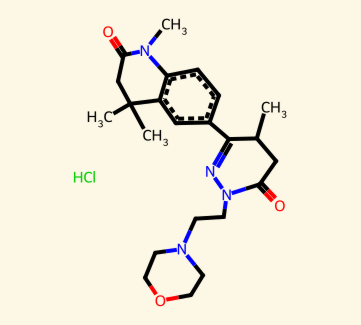 CC1CC(=O)N(CCN2CCOCC2)N=C1c1ccc2c(c1)C(C)(C)CC(=O)N2C.Cl